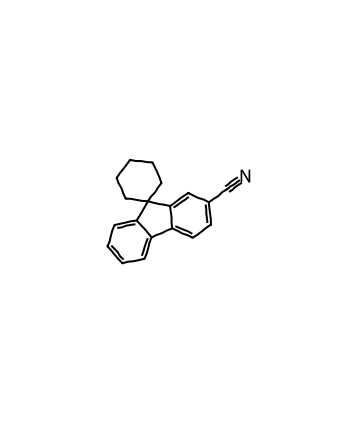 N#Cc1ccc2c(c1)C1(CCCCC1)c1ccccc1-2